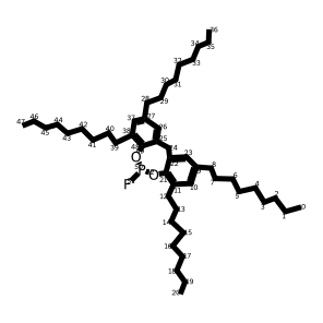 CCCCCCCCCc1cc(CCCCCCCCC)c2c(c1)Cc1cc(CCCCCCCCC)cc(CCCCCCCCC)c1OP(F)O2